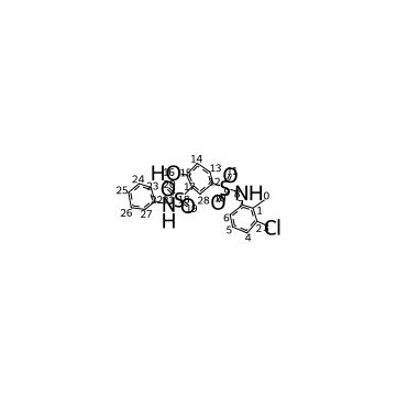 Cc1c(Cl)cccc1NS(=O)(=O)c1ccc(O)c(S(=O)(=O)Nc2ccccc2)c1